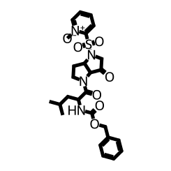 CC(C)CC(NC(=O)OCc1ccccc1)C(=O)N1CCC2C1C(=O)CN2S(=O)(=O)c1cccc[n+]1[O-]